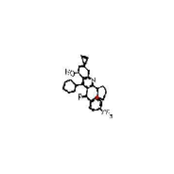 O[C@H]1CC2(CC2)Cc2nc(C3CCCC3)c(C(F)c3ccc(C(F)(F)F)cc3)c(C3CCCCC3)c21